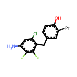 CC(C)c1cc(Cc2c(Cl)cc(N)c(F)c2F)ccc1O